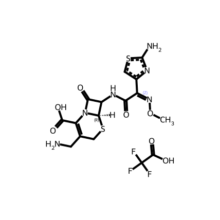 CO/N=C(\C(=O)NC1C(=O)N2C(C(=O)O)=C(CN)CS[C@H]12)c1csc(N)n1.O=C(O)C(F)(F)F